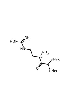 CCCCCCC(CCCCCC)C(=O)[C@@H](N)CCNC(=N)N